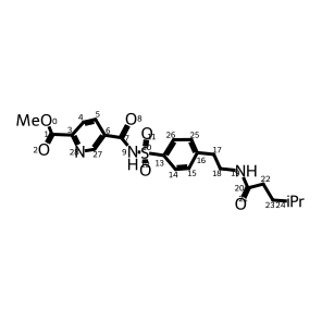 COC(=O)c1ccc(C(=O)NS(=O)(=O)c2ccc(CCNC(=O)CCC(C)C)cc2)cn1